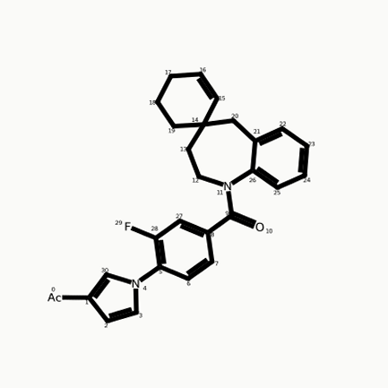 CC(=O)c1ccn(-c2ccc(C(=O)N3CCC4(C=CCCC4)Cc4ccccc43)cc2F)c1